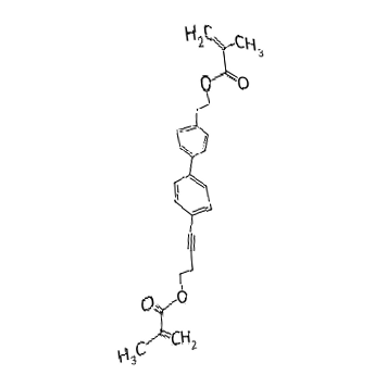 C=C(C)C(=O)OCCC#Cc1ccc(-c2ccc(CCOC(=O)C(=C)C)cc2)cc1